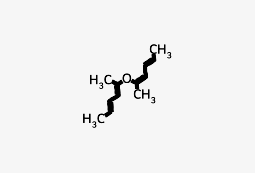 CC=CC=C(C)OC(C)=CC=CC